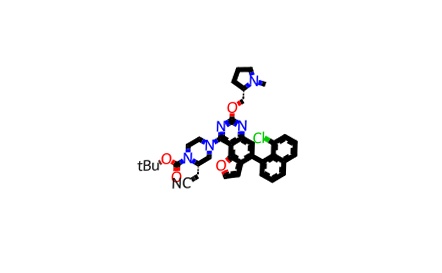 CN1CCC[C@H]1COc1nc(N2CCN(C(=O)OC(C)(C)C)[C@@H](CC#N)C2)c2c(cc(-c3cccc4cccc(Cl)c34)c3ccoc32)n1